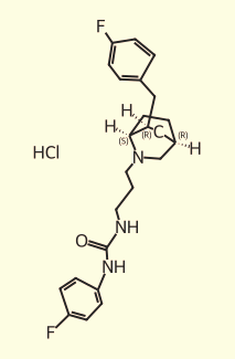 Cl.O=C(NCCCN1C[C@@H]2CC[C@H]1[C@@H](Cc1ccc(F)cc1)C2)Nc1ccc(F)cc1